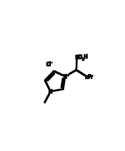 CCCC([n+]1ccn(C)c1)S(=O)(=O)O.[Cl-]